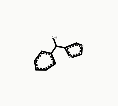 OC(c1ccccc1)c1cncs1